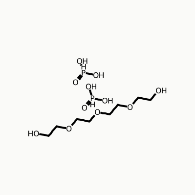 O=[PH](O)O.O=[PH](O)O.OCCOCCOCCOCCO